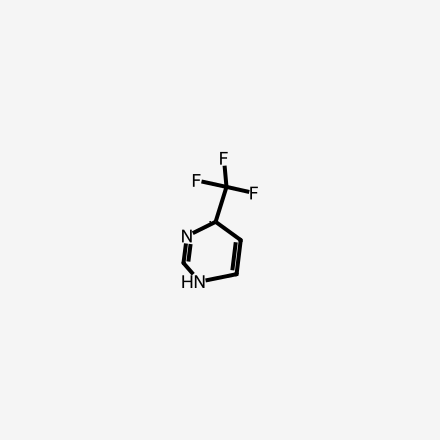 FC(F)(F)[C]1C=CNC=N1